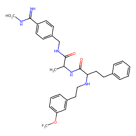 CC(NC(=O)C(CCc1ccccc1)NCCc1cccc(OC(F)(F)F)c1)C(=O)NCc1ccc(C(=N)NC(=O)O)cc1